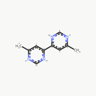 Cc1cc(-c2cc(C)ncn2)ncn1